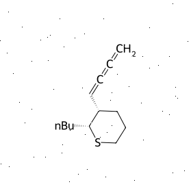 C=C=C=C[C@@H]1CCCS[C@@H]1CCCC